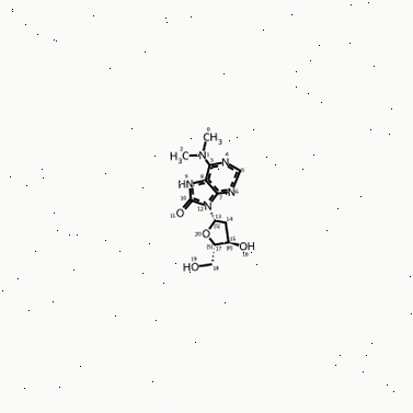 CN(C)c1ncnc2c1[nH]c(=O)n2[C@@H]1C[C@@H](O)[C@H](CO)O1